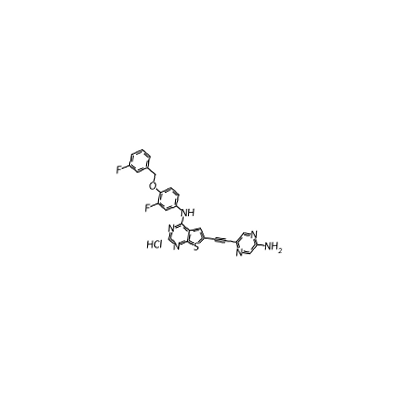 Cl.Nc1cnc(C#Cc2cc3c(Nc4ccc(OCc5cccc(F)c5)c(F)c4)ncnc3s2)cn1